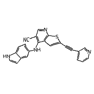 N#Cc1cnc2sc(C#Cc3cccnc3)cc2c1Nc1ccc2[nH]ccc2c1